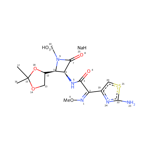 CON=C(C(=O)N[C@@H]1C(=O)N(S(=O)(=O)O)[C@@H]1C1COC(C)(C)O1)c1csc(N)n1.[NaH]